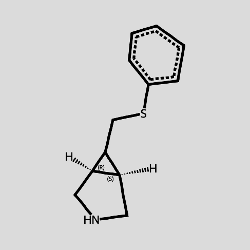 c1ccc(SCC2[C@H]3CNC[C@@H]23)cc1